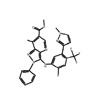 COC(=O)c1cnc2c(Nc3cc(-c4ccn(C)n4)c(C(F)(F)F)cc3F)n(-c3ccccc3)nc2c1C